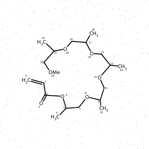 C=CC(=O)OC(C)COC(C)COC(C)COC(C)COC(C)COC